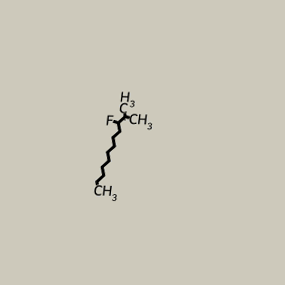 CCCCCCCCCC(F)[C](C)C